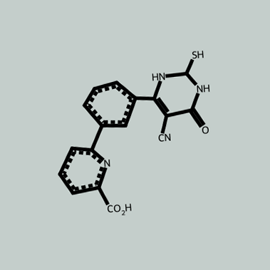 N#CC1=C(c2cccc(-c3cccc(C(=O)O)n3)c2)NC(S)NC1=O